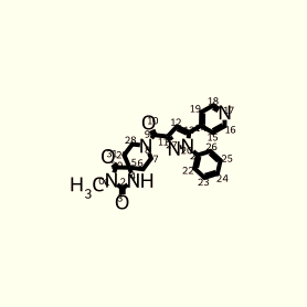 CN1C(=O)NC2(CCN(C(=O)c3cc(-c4ccncc4)n(-c4ccccc4)n3)CC2)C1=O